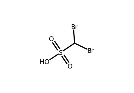 O=S(=O)(O)C(Br)Br